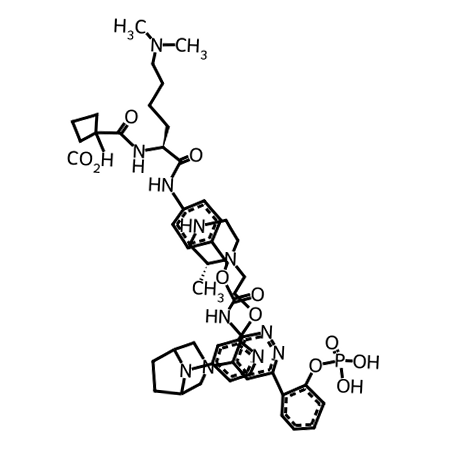 C[C@@H]1CNCCN1CCOc1cc(N2C3CCC2CN(c2cc(-c4ccccc4OP(=O)(O)O)nnc2NC(=O)OCc2ccc(NC(=O)[C@H](CCCCN(C)C)NC(=O)C4(C(=O)O)CCC4)cc2)C3)ccn1